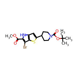 COC(=O)c1[nH]c2cc(C3CCN(C(=O)OC(C)(C)C)CC3)sc2c1Br